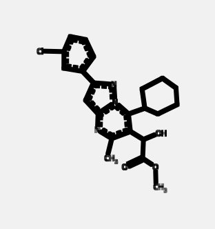 COC(=O)C(O)c1c(C)nc2cc(-c3cccc(Cl)c3)nn2c1C1CCCCC1